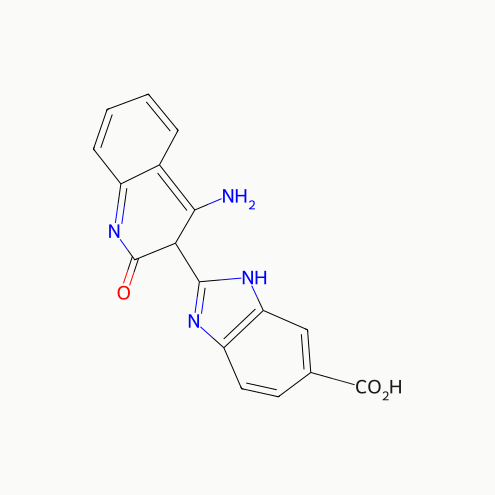 NC1=c2ccccc2=NC(=O)C1c1nc2ccc(C(=O)O)cc2[nH]1